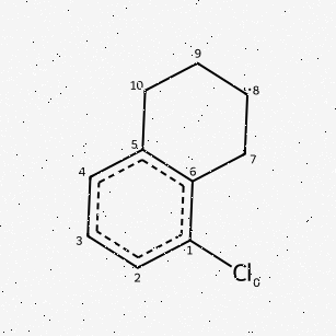 Clc1cccc2c1C[C]CC2